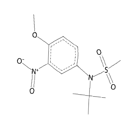 COc1ccc(N(C(C)(C)C)S(C)(=O)=O)cc1[N+](=O)[O-]